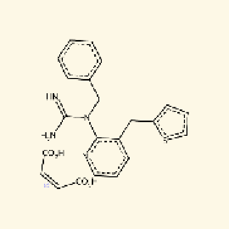 N=C(N)N(Cc1ccccc1)c1ncccc1Cc1cccs1.O=C(O)/C=C\C(=O)O